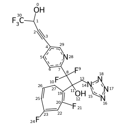 OC(C#Cc1ccc(C(F)(F)C(O)(Cn2cnnn2)C2=C(F)C=C(F)C=CC2)nc1)C(F)(F)F